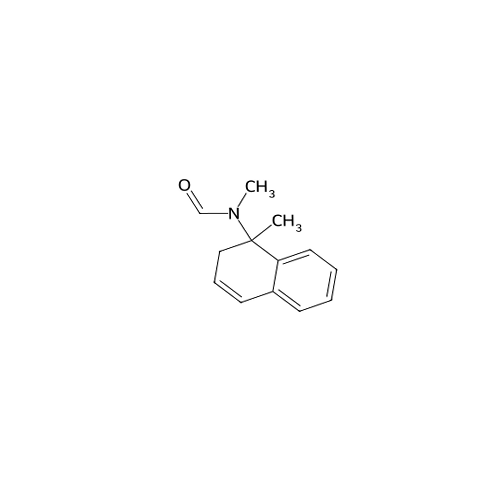 CN(C=O)C1(C)CC=Cc2ccccc21